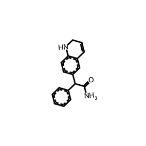 NC(=O)C(c1ccccc1)c1ccc2c(c1)C=CCN2